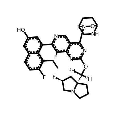 [2H]C([2H])(Oc1nc(N2CC3CCC2CN3)c2cnc(-c3cc(O)cc4ccc(F)c(CC)c34)c(F)c2n1)[C@]12CCCN1C[C@@H](F)C2